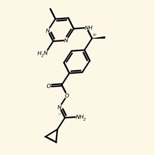 Cc1cc(N[C@@H](C)c2ccc(C(=O)O/N=C(\N)C3CC3)cc2)nc(N)n1